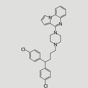 Clc1ccc(C(CCCN2CCN(c3nc4ccccc4n4cccc34)CC2)c2ccc(Cl)cc2)cc1